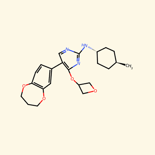 C[C@H]1CC[C@H](Nc2ncc(-c3ccc4c(c3)OCCCO4)c(OC3COC3)n2)CC1